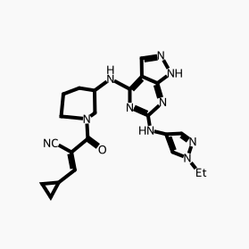 CCn1cc(Nc2nc(NC3CCCN(C(=O)/C(C#N)=C/C4CC4)C3)c3cn[nH]c3n2)cn1